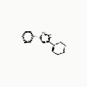 C1=C(c2cc(-c3ccccc3)no2)CCCC1